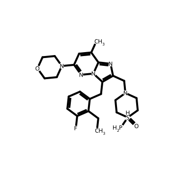 CCc1c(F)cccc1Cc1c(CN2CC[SH](=O)(P)CC2)nc2c(C)cc(N3CCOCC3)nn12